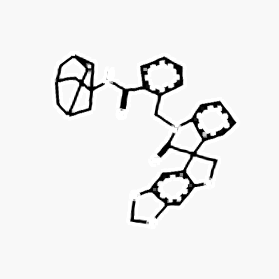 O=C(NC12CC3CC(CC(C3)C1)C2)c1ccccc1CN1C(=O)C2(COc3cc4c(cc32)OCO4)c2ccccc21